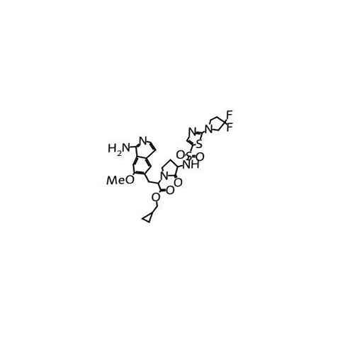 COc1cc2c(N)nccc2cc1CC(C(=O)OCC1CC1)N1CCC(NS(=O)(=O)c2cnc(N3CCC(F)(F)C3)s2)C1=O